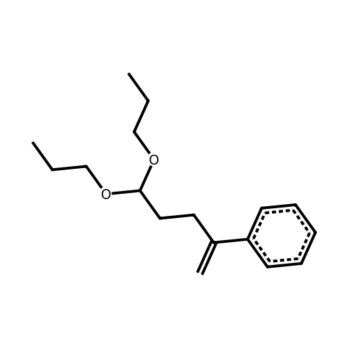 C=C(CCC(OCCC)OCCC)c1ccccc1